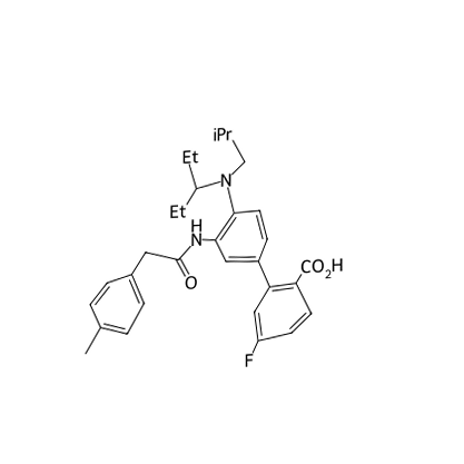 CCC(CC)N(CC(C)C)c1ccc(-c2cc(F)ccc2C(=O)O)cc1NC(=O)Cc1ccc(C)cc1